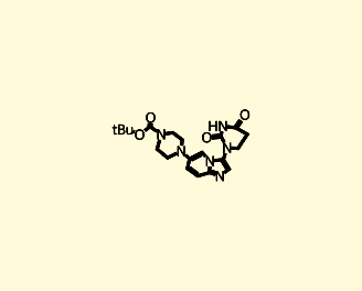 CC(C)(C)OC(=O)N1CCN(c2ccc3ncc(N4CCC(=O)NC4=O)n3c2)CC1